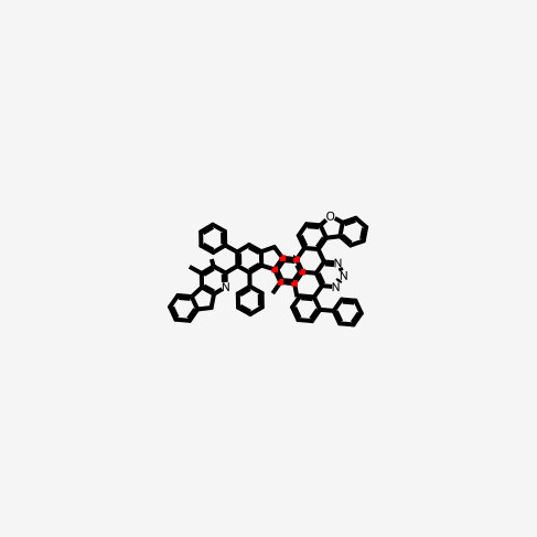 Cc1c(-c2c(-c3ccccc3)cc3c(c2-c2ccccc2)-c2c(nc(-c4c(-c5ccccc5-c5ccccc5)nnnc4-c4c(-c5ccccc5)ccc5oc6ccccc6c45)c(C)c2C)C3)nc2c(c1C)-c1ccccc1C2